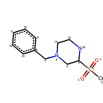 CS(=O)(=O)C1CN(Cc2ccccc2)CC[N]1